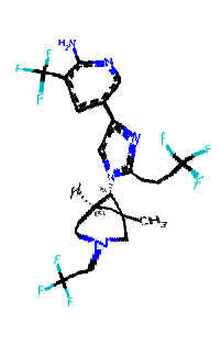 CC12CN(CC(F)(F)F)C[C@H]1[C@@H]2n1cc(-c2cnc(N)c(C(F)(F)F)c2)nc1CC(F)(F)F